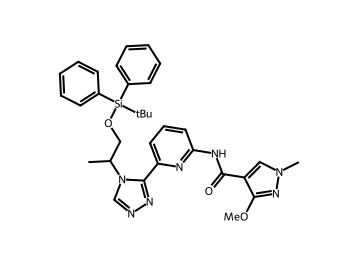 COc1nn(C)cc1C(=O)Nc1cccc(-c2nncn2C(C)CO[Si](c2ccccc2)(c2ccccc2)C(C)(C)C)n1